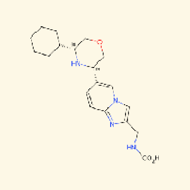 O=C(O)NCc1cn2cc([C@H]3COC[C@@H](C4CCCCC4)N3)ccc2n1